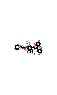 Cc1cc(C(=O)CC(c2ccccc2)c2ccccc2)cc(C)c1OCCCN1CCCCC1